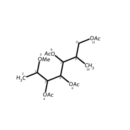 COC(C)C(OC(C)=O)C(OC(C)=O)C(OC(C)=O)C(C)COC(C)=O